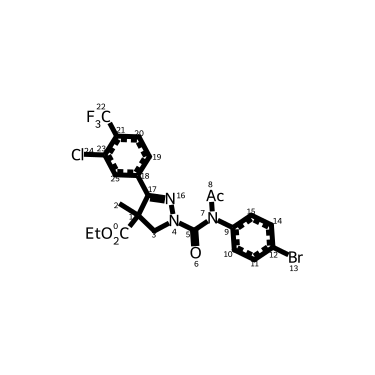 CCOC(=O)C1(C)CN(C(=O)N(C(C)=O)c2ccc(Br)cc2)N=C1c1ccc(C(F)(F)F)c(Cl)c1